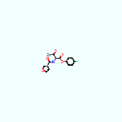 CCC(=O)C(NC(=O)c1ccoc1)C(=O)Oc1ccc(Cl)cc1